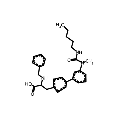 CCCCCNC(=O)N(C)c1cccc(-c2ccc(CC(NCc3ccccc3)C(=O)O)cc2)c1